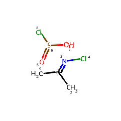 CC(C)=NCl.O=S(O)Cl